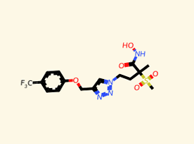 CC(CCn1cc(COc2ccc(C(F)(F)F)cc2)nn1)(C(=O)NO)S(C)(=O)=O